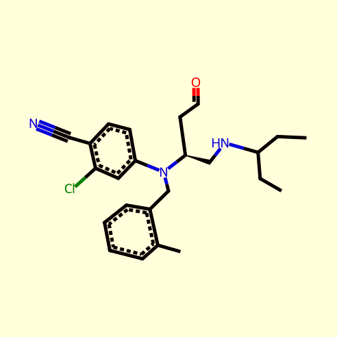 CCC(CC)NC[C@H](CC=O)N(Cc1ccccc1C)c1ccc(C#N)c(Cl)c1